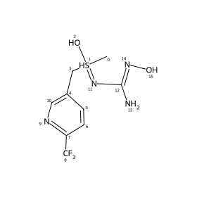 C[SH](O)(Cc1ccc(C(F)(F)F)nc1)=NC(N)=NO